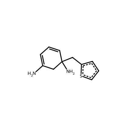 NC1=CC=CC(N)(Cc2cccs2)C1